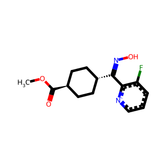 COC(=O)[C@H]1CC[C@H](/C(=N/O)c2ncccc2F)CC1